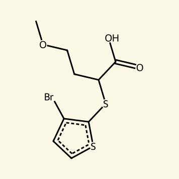 COCCC(Sc1sccc1Br)C(=O)O